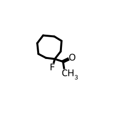 CC(=O)C1(F)CCCCCCC1